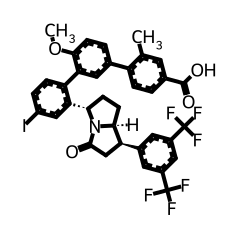 COc1ccc(-c2ccc(C(=O)O)cc2C)cc1-c1ccc(I)cc1[C@@H]1CC[C@H]2[C@@H](c3cc(C(F)(F)F)cc(C(F)(F)F)c3)CC(=O)N12